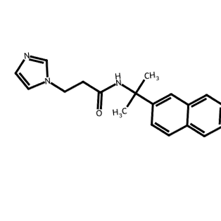 CC(C)(NC(=O)CCn1ccnc1)c1ccc2ccccc2c1